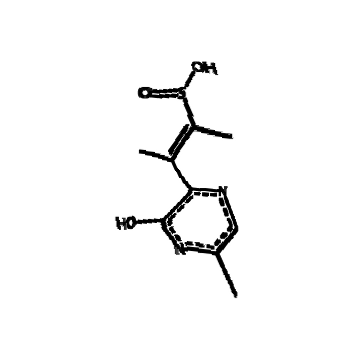 C/C(=C(/C)S(=O)O)c1ncc(C)nc1O